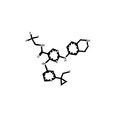 O=C(NCC(F)(F)F)c1cnc(Nc2ccc3c(c2)CCNC3)nc1Nc1ccnc(C2(CF)CC2)c1